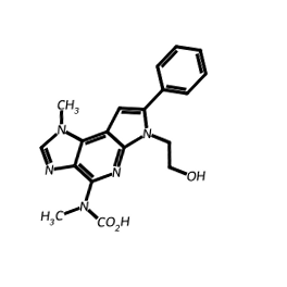 CN(C(=O)O)c1nc2c(cc(-c3ccccc3)n2CCO)c2c1ncn2C